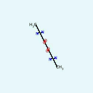 CCCCCCCCC(C#N)C(C#N)CCCCCCCC(=O)OCCCCCCOC(=O)CCCCCCCC(C#N)C(C#N)CCCCCCCC